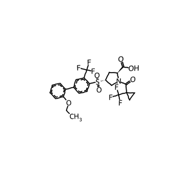 CCOc1ccccc1-c1ccc(S(=O)(=O)[C@@H]2C[C@@H](C(=O)O)N(C(=O)C3(C(F)(F)F)CC3)C2)c(C(F)(F)F)c1